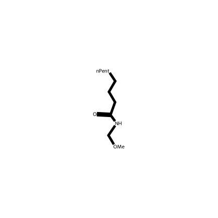 CCCCCCCCC(=O)NCOC